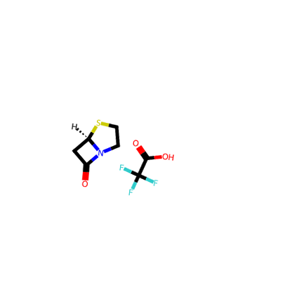 O=C(O)C(F)(F)F.O=C1C[C@H]2SCCN12